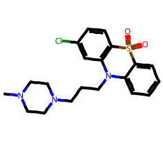 CN1CCN(CCCN2c3ccccc3S(=O)(=O)c3ccc(Cl)cc32)CC1